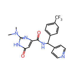 CN(C)c1nc(C(=O)NC(c2ccncc2)c2ccc(C(F)(F)F)cc2)cc(=O)[nH]1